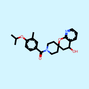 Cc1cc(C(=O)N2CCC3(CC2)CC(O)c2cccnc2O3)ccc1OC(C)C